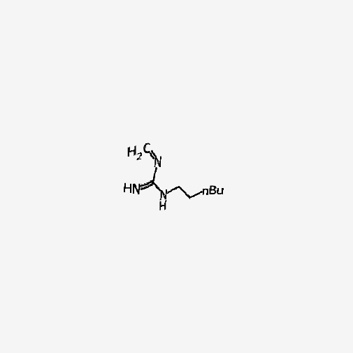 C=NC(=N)NCCCCCC